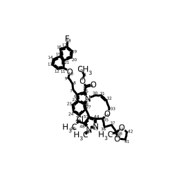 CCOC(=O)c1c(CCCOc2cccc3cc(F)ccc23)c2ccc(Cl)c3c2n1C/C=C\COC(CCC1(C)OCCO1)c1nn(C)c(CC)c1-3